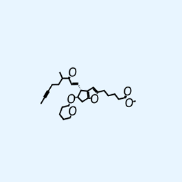 CC#CCCC(C)C(=O)/C=C/[C@@H]1c2cc(CCCCC(=O)OC)oc2C[C@H]1OC1CCCCO1